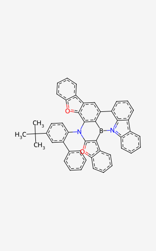 CC(C)(C)c1ccc(N2c3oc4ccccc4c3B3c4c(cc5c(oc6ccccc65)c42)-c2cccc4c5ccccc5n3c24)c(-c2ccccc2)c1